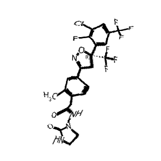 Cc1cc(C2=NO[C@](c3cc(C(F)(F)F)cc(Cl)c3F)(C(F)(F)F)C2)ccc1C(=O)NN1CCNC1=O